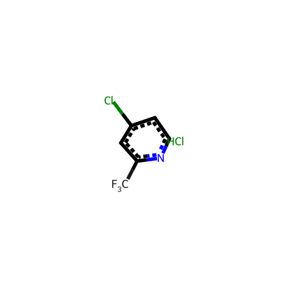 Cl.FC(F)(F)c1cc(Cl)ccn1